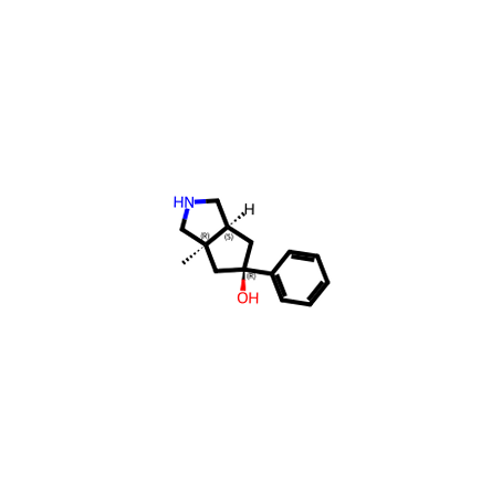 C[C@]12CNC[C@H]1C[C@](O)(c1ccccc1)C2